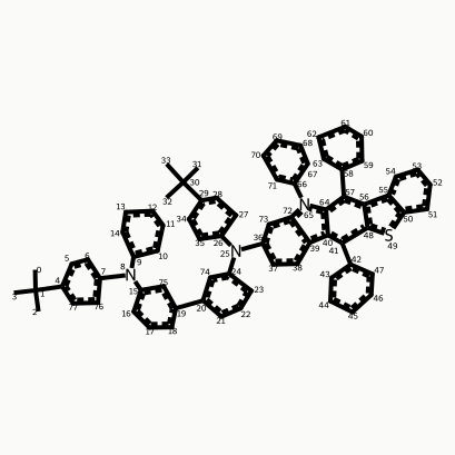 CC(C)(C)c1ccc(N(c2ccccc2)c2cccc(-c3cccc(N(c4ccc(C(C)(C)C)cc4)c4ccc5c6c(-c7ccccc7)c7sc8ccccc8c7c(-c7ccccc7)c6n(-c6ccccc6)c5c4)c3)c2)cc1